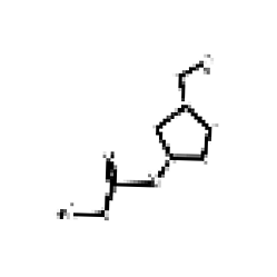 CC(C)(C)CC(=O)N[C@@H]1CC[C@H](CO)C1